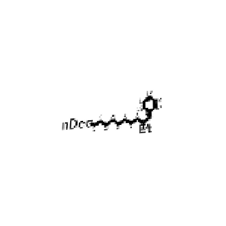 CCCCCCCCCCCCCCCCCCC(CC)Cc1ccccc1